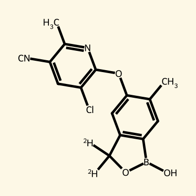 [2H]C1([2H])OB(O)c2cc(C)c(Oc3nc(C)c([N+]#[C-])cc3Cl)cc21